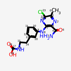 Cc1nc(C(N)=O)c(Nc2cccc(CCNC(=O)O)c2)nc1Cl